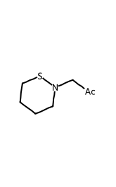 CC(=O)CN1CCCCS1